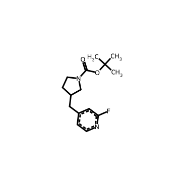 CC(C)(C)OC(=O)N1CCC(Cc2ccnc(F)c2)C1